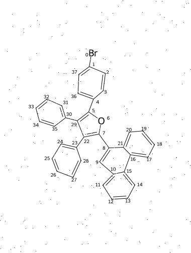 Brc1ccc(-c2oc(-c3cc4ccccc4c4ccccc34)c(-c3ccccc3)c2-c2ccccc2)cc1